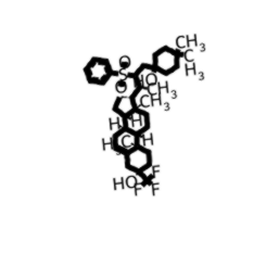 C[C@H](C(CC1(O)CCC(C)(C)CC1)S(=O)(=O)c1ccccc1)[C@H]1CC[C@H]2[C@@H]3CC=C4C[C@](O)(C(F)(F)F)CC[C@]4(C)[C@H]3CC[C@]12C